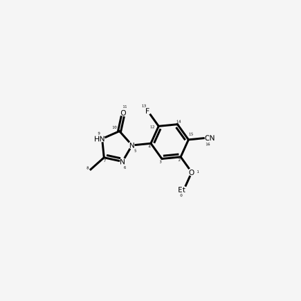 CCOc1cc(-n2nc(C)[nH]c2=O)c(F)cc1C#N